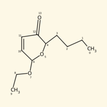 CCCCC1OC(OCC)C=CC1=O